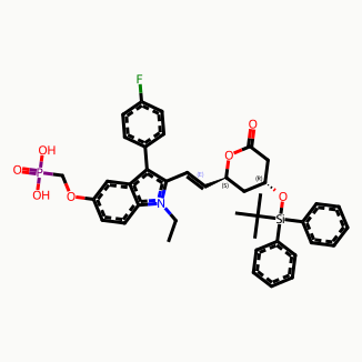 CCn1c(/C=C/[C@@H]2C[C@@H](O[Si](c3ccccc3)(c3ccccc3)C(C)(C)C)CC(=O)O2)c(-c2ccc(F)cc2)c2cc(OCP(=O)(O)O)ccc21